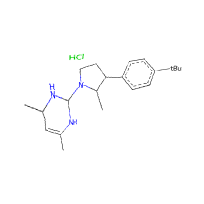 CC1=CC(C)NC(N2CCC(c3ccc(C(C)(C)C)cc3)C2C)N1.Cl